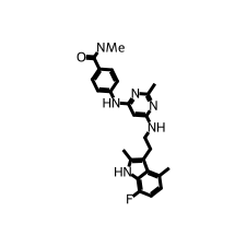 CNC(=O)c1ccc(Nc2cc(NCCc3c(C)[nH]c4c(F)ccc(C)c34)nc(C)n2)cc1